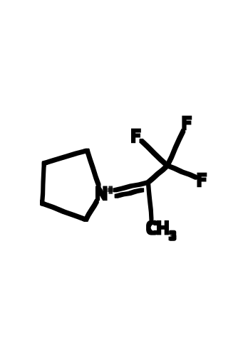 CC(=[N+]1CCCC1)C(F)(F)F